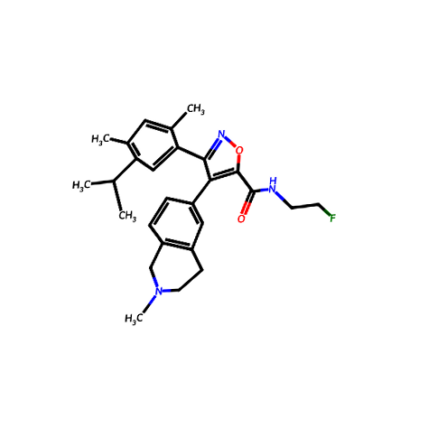 Cc1cc(C)c(C(C)C)cc1-c1noc(C(=O)NCCF)c1-c1ccc2c(c1)CCN(C)C2